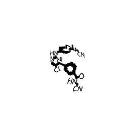 N#CCNC(=O)c1ccc(-c2nc(Nc3cnn(CC#N)c3)ncc2Cl)cc1